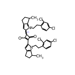 CC1CCC2=C/C(=C3/C(=O)C(c4cc5c(n4CCc4ccc(Cl)cc4Cl)C(C)CC5)=C3[O-])[N+](CCc3ccc(Cl)cc3Cl)=C21